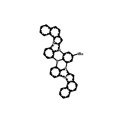 CC(C)(C)c1cc2c3c(c1)-n1c4c(cccc4n4c5c(ccc6ccccc65)cc14)B3c1cccc3c1n-2c1cc2ccc4ccccc4c2n31